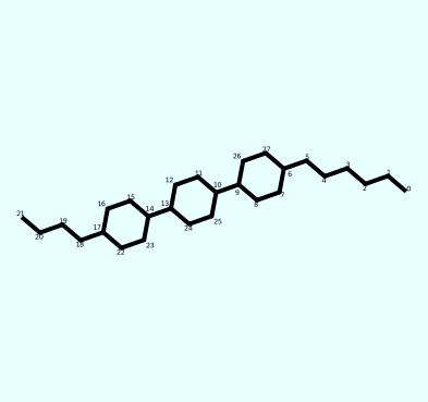 CCCCCCC1CCC(C2CCC(C3CCC(CCCC)CC3)CC2)CC1